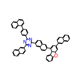 C1=C(c2ccc3ccccc3c2)C=C(c2ccc3cc(-c4nc(-c5ccc(-c6cccc7ccccc67)cc5)nc(-c5ccc6ccccc6c5)n4)ccc3c2)C2c3ccccc3OC12